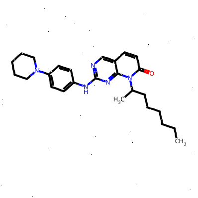 CCCCCCC(C)n1c(=O)ccc2cnc(Nc3ccc(N4CCCCC4)cc3)nc21